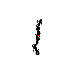 C=CC(=O)OCCOc1ccc(-c2ccc(OC(=O)c3ccc(OCCCOC(=O)C(=C)CC(=O)OC4CCCCC4)cc3)cc2)cc1